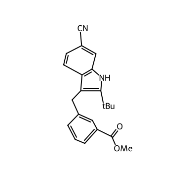 COC(=O)c1cccc(Cc2c(C(C)(C)C)[nH]c3cc(C#N)ccc23)c1